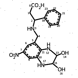 O=C(O)CC(NCc1cc([N+](=O)[O-])cc2c1NC(O)C(O)N2)c1ccccc1